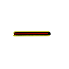 S=S=S=S=S=S=S=S=S=S=S=S=S=S=S=S=S=S=S=S=S=S=S=S=S=S=S=S=S=S=S=S=S=S=S=S=S=S=S=S=S=S=S=S=S=S=S=S=S=S=S=S=S=S=S=S=S=S=S=S=S=S=S=S=S=S=S=S=S=S=S=S=S=S=S=S=S=S=S=S=S=S=S=S=S=S=S=S=S=S=S=S=S=S=S=S=S=S=S=S=S=S=S=S=S=S=S=S=S=S=S=S=S=S=S=S=S=S=S=S=S